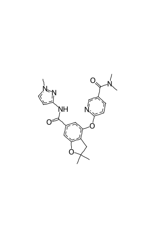 CN(C)C(=O)c1ccc(Oc2cc(C(=O)Nc3ccn(C)n3)cc3c2CC(C)(C)O3)nc1